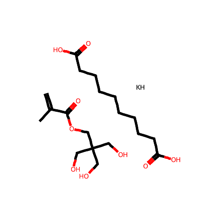 C=C(C)C(=O)OCC(CO)(CO)CO.O=C(O)CCCCCCCCC(=O)O.[KH]